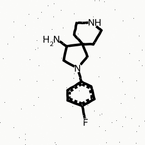 NC1CN(c2ccc(F)cc2)CC12CCNCC2